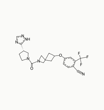 N#Cc1ccc(OC2CC3(C2)CN(C(=O)N2CC[C@H](c4ncn[nH]4)C2)C3)cc1C(F)(F)F